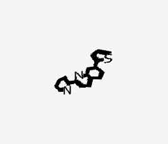 c1ccc(-c2ccc3ccc(-c4cccs4)cc3n2)nc1